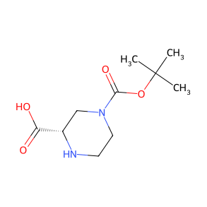 CC(C)(C)OC(=O)N1CCN[C@H](C(=O)O)C1